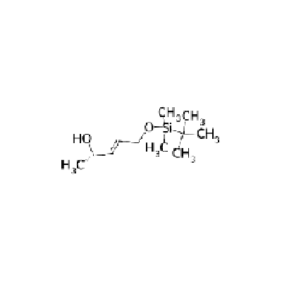 C[C@H](O)C=CCO[Si](C)(C)C(C)(C)C